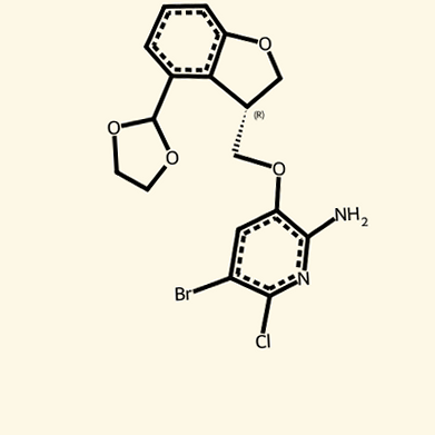 Nc1nc(Cl)c(Br)cc1OC[C@H]1COc2cccc(C3OCCO3)c21